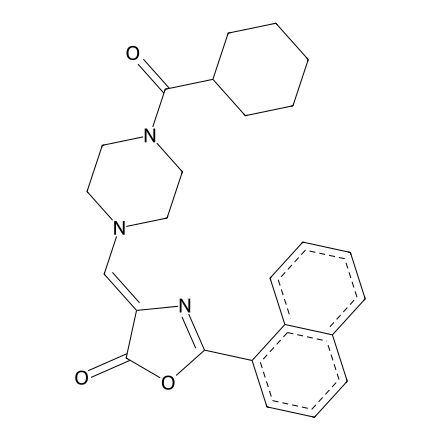 O=C1OC(c2cccc3ccccc23)=NC1=CN1CCN(C(=O)C2CCCCC2)CC1